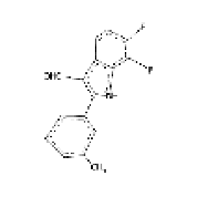 Cc1cccc(-c2[nH]c3c(F)c(F)ccc3c2C=O)c1